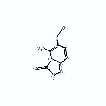 CCc1ccc2n[nH]c(=O)n2c1C